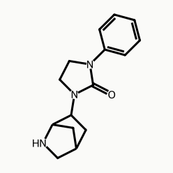 O=C1N(c2ccccc2)CCN1C1CC2CNC1C2